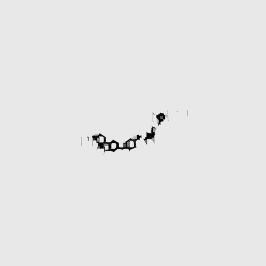 CC(C)(C)c1cnc(CSc2cnc(NC(=O)C3CCN(Cc4ccc(C5CCC(=O)NC5=O)c(F)c4)CC3)s2)o1